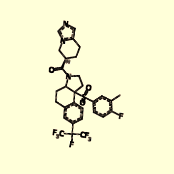 Cc1cc(S(=O)(=O)C23CCN(C(=O)[C@@H]4CCc5cncn5C4)C2CCc2cc(C(F)(C(F)(F)F)C(F)(F)F)ccc23)ccc1F